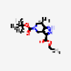 CCOC(=O)c1n[nH]c2c1CN(C(=O)OC(C)(C)C)C[C@H]2C